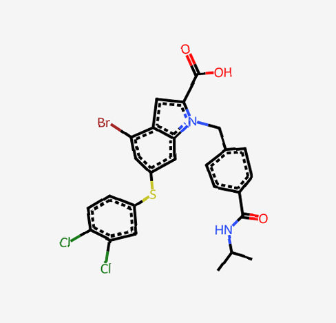 CC(C)NC(=O)c1ccc(Cn2c(C(=O)O)cc3c(Br)cc(Sc4ccc(Cl)c(Cl)c4)cc32)cc1